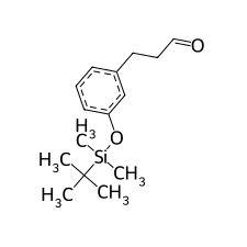 CC(C)(C)[Si](C)(C)Oc1cccc(CCC=O)c1